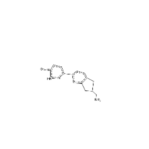 NCC1Cc2ccc(-c3ccc(=O)[nH]n3)cc2C1